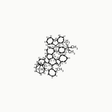 Cc1cccc(C)c1-c1c2oc3ccccc3c2c2c3c4c(ncc3n3c5cnc6c(c5c1c23)C1CC2CC(CC6C2)C1)C1(c2ccccc2-c2ccccc21)c1cc(C(C)(C)C)ccc1-4